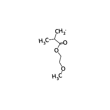 [CH2]C(C)C(=O)OCCOC